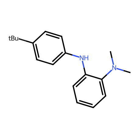 CN(C)c1ccccc1Nc1ccc(C(C)(C)C)cc1